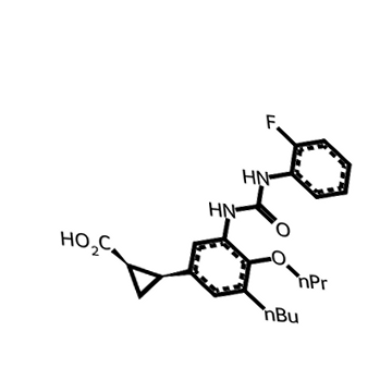 CCCCc1cc([C@H]2C[C@H]2C(=O)O)cc(NC(=O)Nc2ccccc2F)c1OCCC